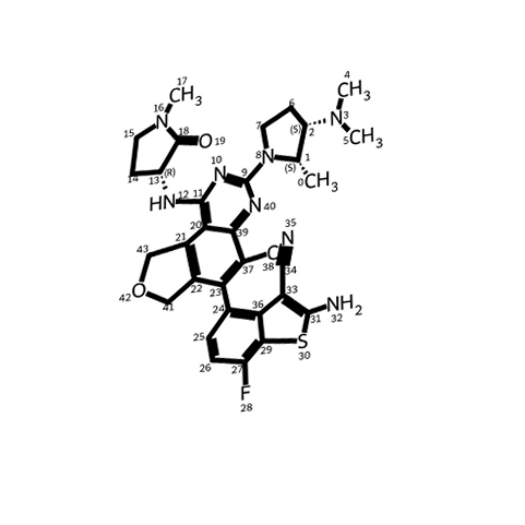 C[C@H]1[C@@H](N(C)C)CCN1c1nc(N[C@@H]2CCN(C)C2=O)c2c3c(c(-c4ccc(F)c5sc(N)c(C#N)c45)c(Cl)c2n1)COC3